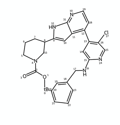 CC(C)(C)OC(=O)N1CCCC(c2cc3c(-c4cc(NCc5ccccc5)ncc4Cl)ccnc3[nH]2)C1